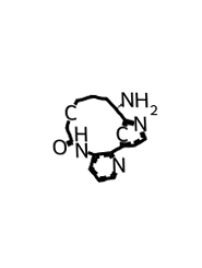 N[C@H]1CCCCCC(=O)Nc2cccnc2-c2ccnc1c2